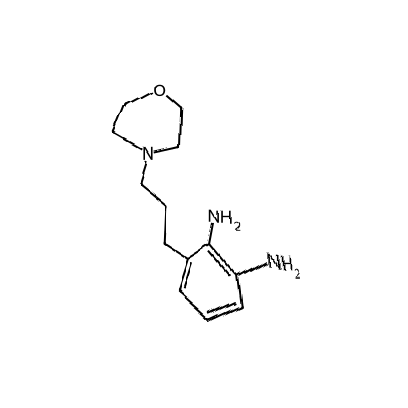 Nc1cccc(CCCN2CCOCC2)c1N